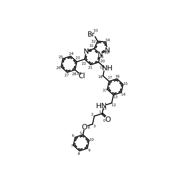 O=C(CCOc1ccccc1)NCc1cccc(CNc2cc(-c3ccccc3Cl)nc3c(Br)cnn23)c1